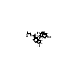 CC(=O)COC(=O)c1cnc2[nH]ccc2c1N[C@H]1[C@@H]2CC3C[C@H]1C[C@@](O)(C3)C2